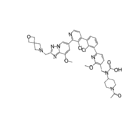 COc1nc(-c2cccc(-c3ccnc(-c4cc(OC)c5nc(CN6CC7(COC7)C6)nn5c4)c3Cl)c2Cl)ccc1CN(C(=O)O)C1CCN(C(C)=O)CC1